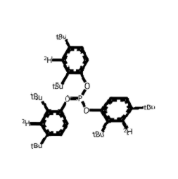 [2H]c1c(C(C)(C)C)ccc(OP(Oc2ccc(C(C)(C)C)c([2H])c2C(C)(C)C)Oc2ccc(C(C)(C)C)c([2H])c2C(C)(C)C)c1C(C)(C)C